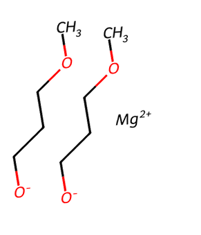 COCCC[O-].COCCC[O-].[Mg+2]